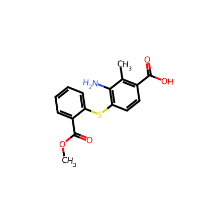 COC(=O)c1ccccc1Sc1ccc(C(=O)O)c(C)c1N